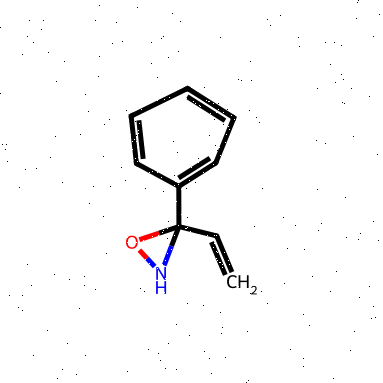 C=CC1(c2ccccc2)NO1